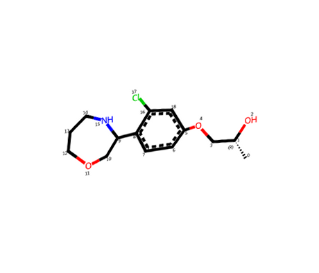 C[C@@H](O)COc1ccc(C2COCCCN2)c(Cl)c1